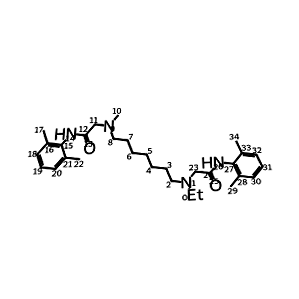 CCN(CCCCCCCN(C)CC(=O)Nc1c(C)cccc1C)CC(=O)Nc1c(C)cccc1C